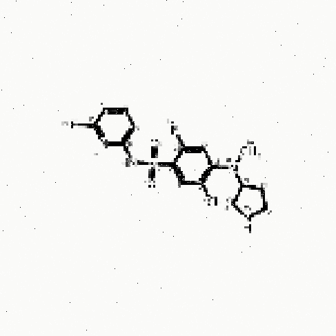 Cc1cc(S(=O)(=O)Nc2cccc(F)n2)c(F)cc1N(C)C1CCNC1